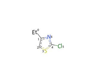 CCc1[c]sc(Cl)n1